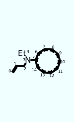 C=CCN(CC)c1ccccccccc1